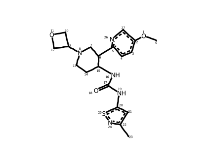 COc1ccc(C2CN(C3COC3)CCC2NC(=O)Nc2cc(C)ns2)nc1